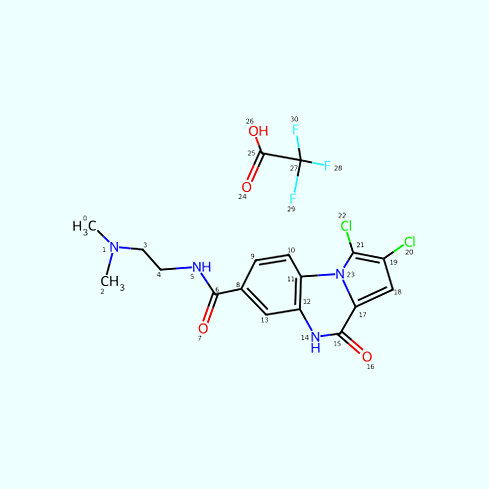 CN(C)CCNC(=O)c1ccc2c(c1)[nH]c(=O)c1cc(Cl)c(Cl)n12.O=C(O)C(F)(F)F